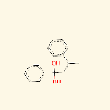 CC(CC(O)(O)c1ccccc1)c1ccccc1